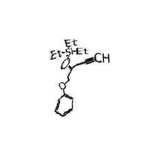 C#CC(COc1ccccc1)O[Si](CC)(CC)CC